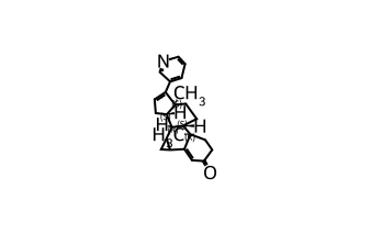 C[C@]12CCC(=O)C=C1C1CC1[C@@H]1[C@@H]2CC[C@]2(C)C(c3cccnc3)=CC[C@@H]12